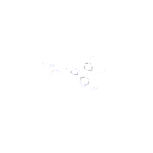 CCNC(=O)N1CCC2(CCn3nc(-c4cnc(N)c(O[C@H](C)c5cccc(C)c5)c4)cc32)C1